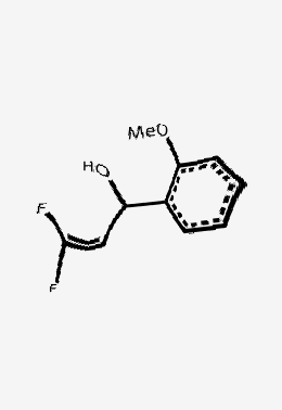 COc1ccccc1C(O)C=C(F)F